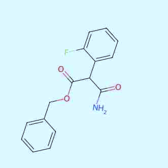 NC(=O)C(C(=O)OCc1ccccc1)c1ccccc1F